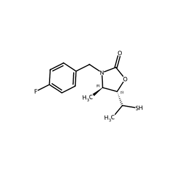 CC(S)[C@H]1OC(=O)N(Cc2ccc(F)cc2)[C@@H]1C